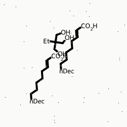 CCC(CO)(CO)CO.CCCCCCCCCCCCCCCC=CC(=O)O.CCCCCCCCCCCCCCCC=CC(=O)O